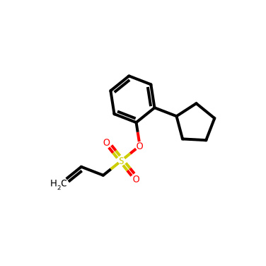 C=CCS(=O)(=O)Oc1ccccc1C1CCCC1